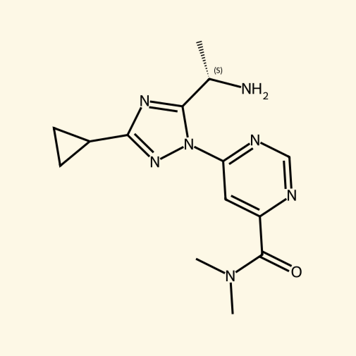 C[C@H](N)c1nc(C2CC2)nn1-c1cc(C(=O)N(C)C)ncn1